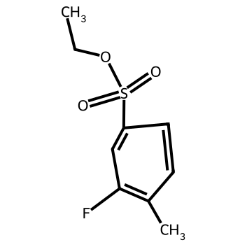 CCOS(=O)(=O)c1ccc(C)c(F)c1